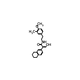 COc1ccc(CCNC(=O)/C(=C\O)c2ccc3c(c2)CCCC3)cc1C